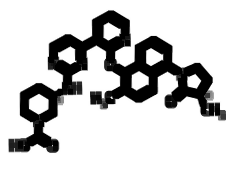 Cc1ccc2c(N3CC[C@@H](C)C3=O)cccc2c1Oc1ncccc1-c1ccnc(N[C@H]2CCCN(C(=O)O)C2)n1